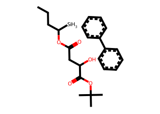 CCCC([SiH3])OC(=O)CC(O)C(=O)OC(C)(C)C.c1ccc(-c2ccccc2)cc1